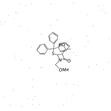 COCN1C(=O)C(C(C)O)C1SC(c1ccccc1)(c1ccccc1)c1ccccc1